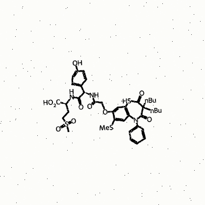 CCCCC1(CCCC)C(=O)[SH]c2cc(OCC(=O)N[C@@H](C(=O)N[C@@H](CCS(C)(=O)=O)C(=O)O)c3ccc(O)cc3)c(SC)cc2N(c2ccccc2)C1=O